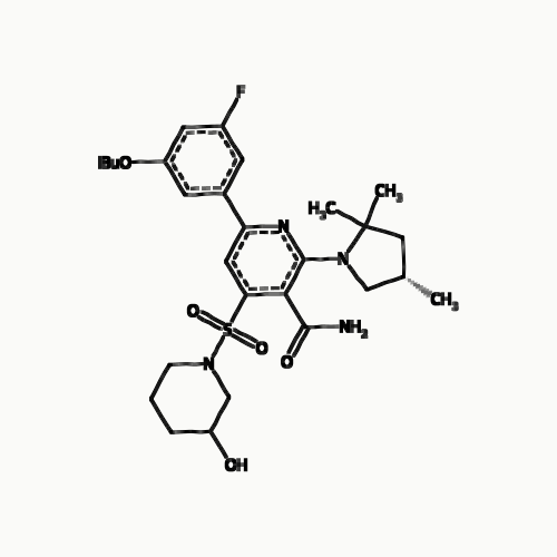 CC(C)COc1cc(F)cc(-c2cc(S(=O)(=O)N3CCCC(O)C3)c(C(N)=O)c(N3C[C@@H](C)CC3(C)C)n2)c1